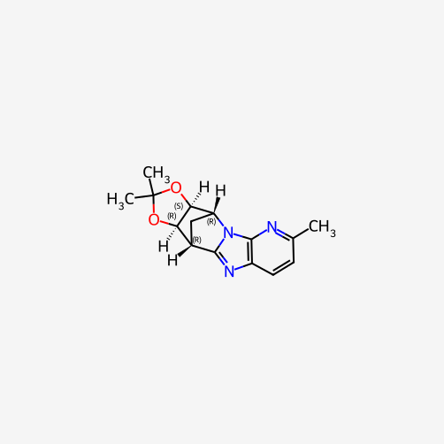 Cc1ccc2nc3n(c2n1)[C@@H]1C[C@H]3[C@H]2OC(C)(C)O[C@H]21